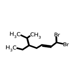 CCC(C/C=C/C(Br)Br)C(C)C